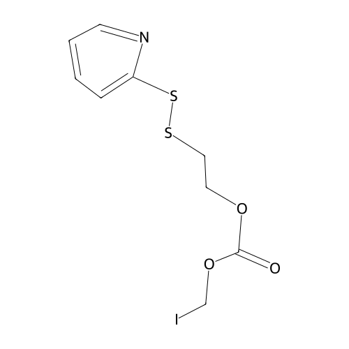 O=C(OCI)OCCSSc1ccccn1